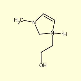 [2H][N+]1(CCO)C=CN(C)C1